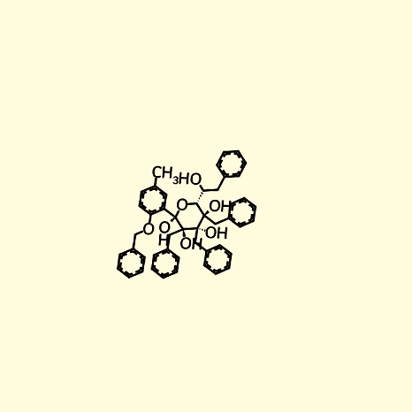 Cc1ccc(OCc2ccccc2)c([C@]2(O)O[C@H](C(O)Cc3ccccc3)[C@](O)(Cc3ccccc3)[C@@](O)(Cc3ccccc3)[C@]2(O)Cc2ccccc2)c1